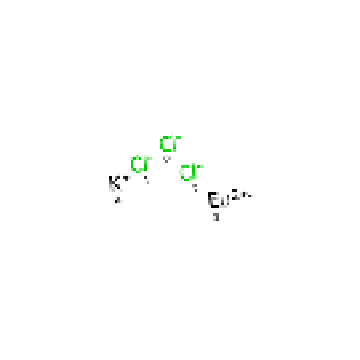 [Cl-].[Cl-].[Cl-].[Eu+2].[K+]